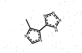 Cc1n[c]sc1-c1nnn[nH]1